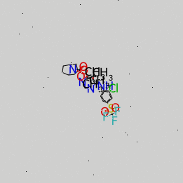 Cc1c(Nc2ccc(S(=O)(=O)C(F)(F)F)cc2Cl)ncnc1OC1CC2CCC(C1)N2C(=O)OC(C)(C)C